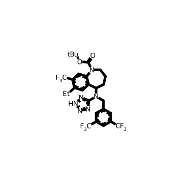 CCc1cc2c(cc1C(F)(F)F)N(C(=O)OC(C)(C)C)CCCC2N(Cc1cc(C(F)(F)F)cc(C(F)(F)F)c1)c1nn[nH]n1